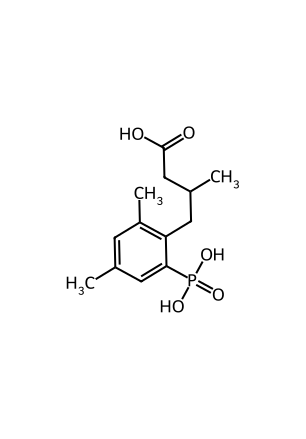 Cc1cc(C)c(CC(C)CC(=O)O)c(P(=O)(O)O)c1